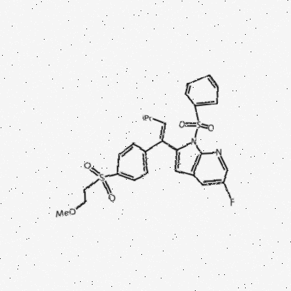 COCCS(=O)(=O)c1ccc(/C(=C\C(C)C)c2cc3cc(F)cnc3n2S(=O)(=O)c2ccccc2)cc1